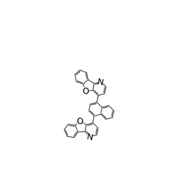 c1ccc2c(c1)oc1c(-c3ccc(-c4ccnc5c4oc4ccccc45)c4ccccc34)ccnc12